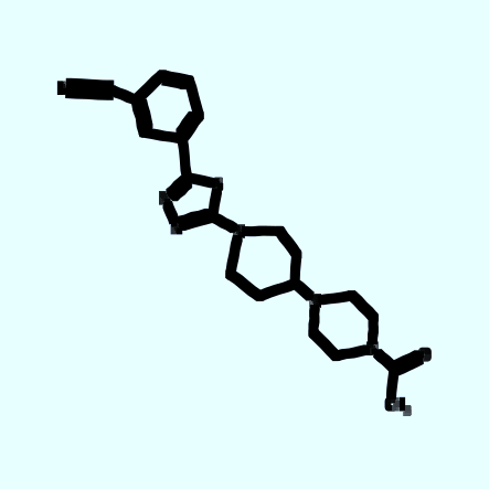 CC(=O)N1CCN(C2CCN(c3nnc(-c4cccc(C#N)c4)s3)CC2)CC1